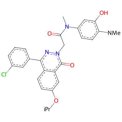 CNc1ccc(N(C)C(=O)Cn2nc(-c3cccc(Cl)c3)c3ccc(OC(C)C)cc3c2=O)cc1O